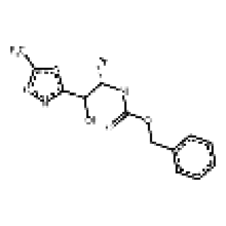 CC(C)[C@H](NC(=O)OCc1ccccc1)C(O)c1noc(C(F)(F)F)n1